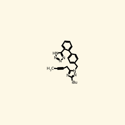 CC#CCc1nc(C(C)CC)nn1Cc1ccc(-c2ccccc2-c2nnn[nH]2)cc1